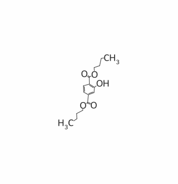 CCCCOC(=O)c1ccc(C(=O)OCCCC)c(O)c1